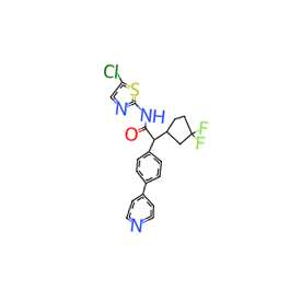 O=C(Nc1ncc(Cl)s1)C(c1ccc(-c2ccncc2)cc1)C1CCC(F)(F)C1